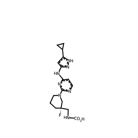 O=C(O)NC[C@@]1(F)CCCN(c2nccc(Nc3cc(C4CC4)[nH]n3)n2)C1